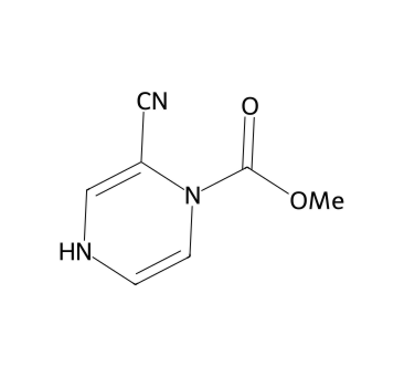 COC(=O)N1C=CNC=C1C#N